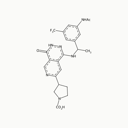 CC(=O)Nc1cc(C(C)Nc2n[nH]c(=O)c3cnc(C4CCN(C(=O)O)C4)cc23)cc(C(F)(F)F)c1